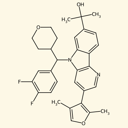 Cc1coc(C)c1-c1cnc2c3ccc(C(C)(C)O)cc3n(C(c3ccc(F)c(F)c3)C3CCOCC3)c2c1